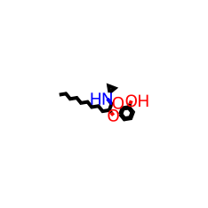 CCCCCCCCCC(Oc1cccc(O)c1)C(=O)NC1CC1